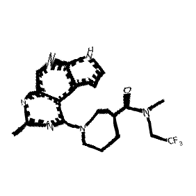 Cc1nc(N2CCCC(C(=O)N(C)CC(F)(F)F)C2)c2c(cnc3[nH]ccc32)n1